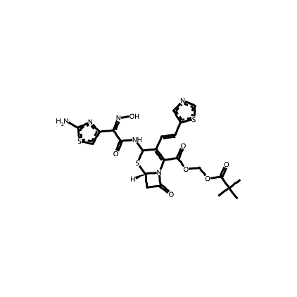 CC(C)(C)C(=O)OCOC(=O)C1=C(C=Cc2cncs2)C(NC(=O)C(=NO)c2csc(N)n2)S[C@H]2CC(=O)N12